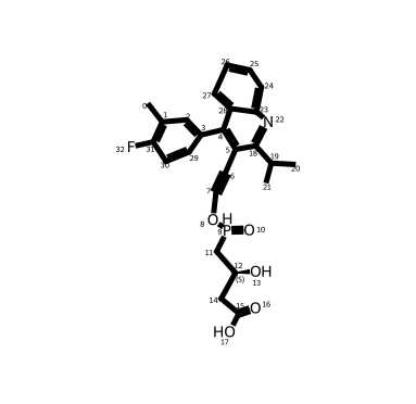 Cc1cc(-c2c(C#CO[PH](=O)C[C@@H](O)CC(=O)O)c(C(C)C)nc3ccccc23)ccc1F